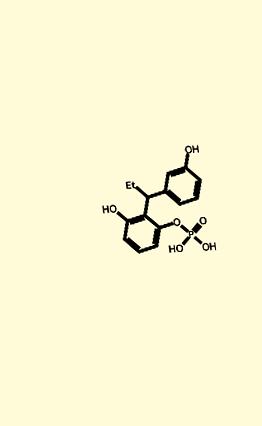 CCC(c1cccc(O)c1)c1c(O)cccc1OP(=O)(O)O